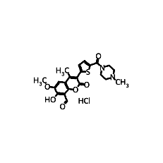 COc1cc2c(C)c(-c3ccc(C(=O)N4CCN(C)CC4)s3)c(=O)oc2c(C=O)c1O.Cl